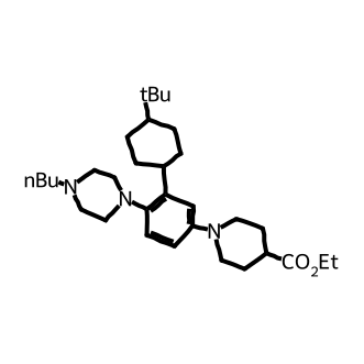 CCCCN1CCN(c2ccc(N3CCC(C(=O)OCC)CC3)cc2C2CCC(C(C)(C)C)CC2)CC1